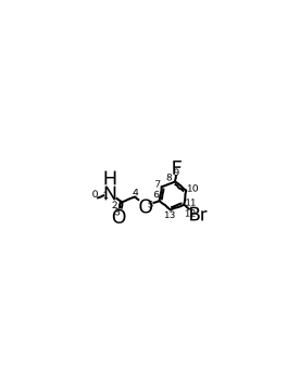 CNC(=O)COc1cc(F)cc(Br)c1